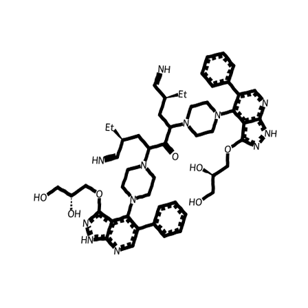 CC[C@H](C=N)CC(C(=O)C(C[C@@H](C=N)CC)N1CCN(c2c(-c3ccccc3)cnc3[nH]nc(OC[C@H](O)CO)c23)CC1)N1CCN(c2c(-c3ccccc3)cnc3[nH]nc(OC[C@H](O)CO)c23)CC1